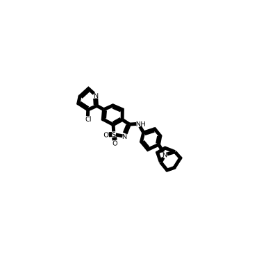 O=S1(=O)N=C(Nc2ccc(N3C4CCCC3CC4)cc2)c2ccc(-c3ncccc3Cl)cc21